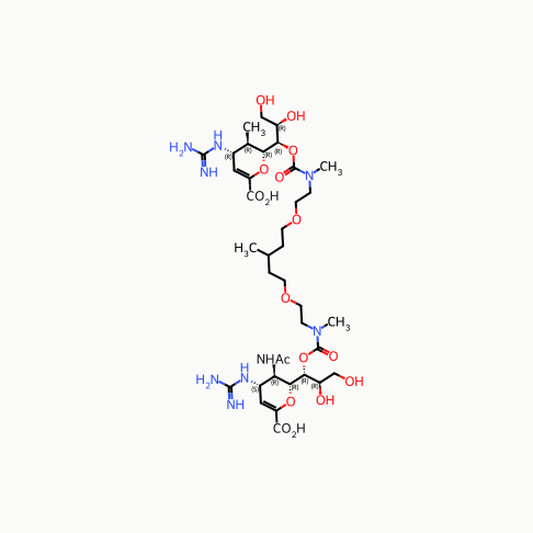 CC(=O)N[C@H]1[C@H]([C@H](OC(=O)N(C)CCOCCC(C)CCOCCN(C)C(=O)O[C@@H]([C@@H]2OC(C(=O)O)=C[C@H](NC(=N)N)[C@H]2C)[C@H](O)CO)[C@H](O)CO)OC(C(=O)O)=C[C@@H]1NC(=N)N